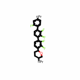 CCCc1ccc(-c2ccc(-c3ccc(C4CCC(CCC)CO4)c(F)c3F)c(F)c2F)c(F)c1